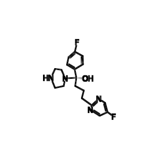 O[C@@](CCCc1ncc(F)cn1)(c1ccc(F)cc1)N1CCNCC1